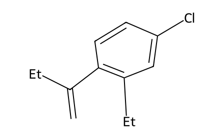 C=C(CC)c1ccc(Cl)cc1CC